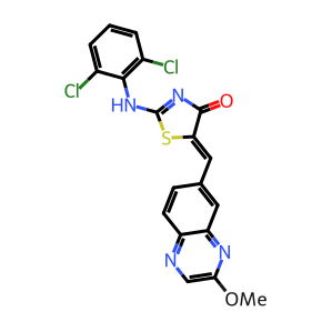 COc1cnc2ccc(/C=C3\SC(Nc4c(Cl)cccc4Cl)=NC3=O)cc2n1